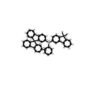 Cc1ccc2c(c1)C1(c3ccccc3-2)c2ccccc2-c2ccc(N(c3ccccc3)c3ccc4c(c3)-c3ccccc3C4(C)C)cc21